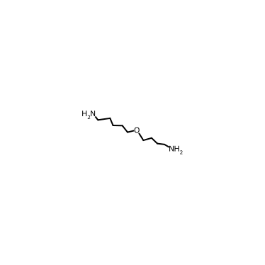 NCCCCCOCCCCN